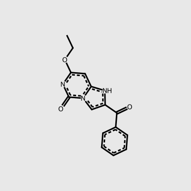 CCOc1cc2[nH]c(C(=O)c3ccccc3)cn2c(=O)n1